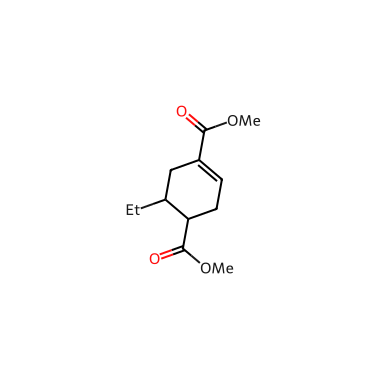 CCC1CC(C(=O)OC)=CCC1C(=O)OC